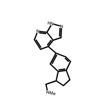 CNCC1CCc2ccc(-c3ccnc4[nH]ncc34)cc21